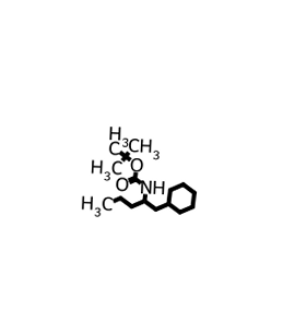 CCCC(CC1CCCCC1)NC(=O)OC(C)(C)C